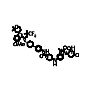 COc1ccc([C@]2(CCN(CC(C)(C)C(F)(F)F)C[C@H]3CC[C@H](c4ccc(NC(=O)N5CCC(Nc6ccc7c(c6)n(C)c(=O)n7C6CCC(=O)NC6=O)CC5)cc4)CC3)CCOC(C)(C)C2)cc1